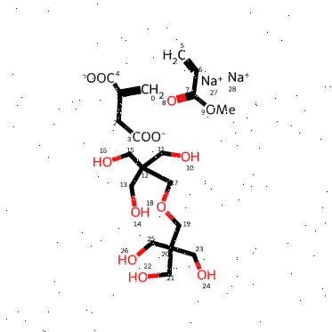 C=C(CC(=O)[O-])C(=O)[O-].C=CC(=O)OC.OCC(CO)(CO)COCC(CO)(CO)CO.[Na+].[Na+]